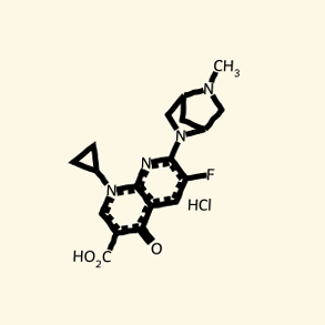 CN1CC2CC1CN2c1nc2c(cc1F)c(=O)c(C(=O)O)cn2C1CC1.Cl